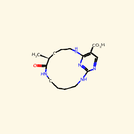 C[C@H]1CCCNc2nc(ncc2C(=O)O)NCCCCNC1=O